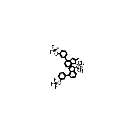 CC1=Cc2c(-c3cccc(OC(F)(F)F)c3)cccc2[CH]1[Zr]([Cl])([Cl])([CH]1C(C)=Cc2c(-c3cccc(OC(F)(F)F)c3)cccc21)[SiH](C)C